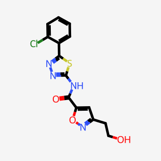 O=C(Nc1nnc(-c2ccccc2Cl)s1)c1cc(CCO)no1